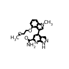 COCCOc1cccc2c1c(-c1cc(C(N)=O)nc3[nH]ncc13)cn2C